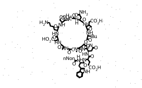 CCCCCCCCCC(=O)NC(Cc1c[nH]c2ccccc12)C(=O)NC(CCC(=O)O)C(=O)NC(CC(N)=O)C(=O)NC1C(=O)N(C)CC(=O)NC(C)C(=O)NC(CC(=O)O)C(=O)NC(CCCCN)C(=O)NC(CC(=O)O)C(=O)NCC(=O)NC(CC(N)=O)C(=O)NC(C(C)CC(=O)O)C(=O)NC(C(C)CC)C(=O)OC1C